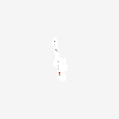 CCCCCCCCCCCCCCNC(=O)CCNCCCN1CCOCC1